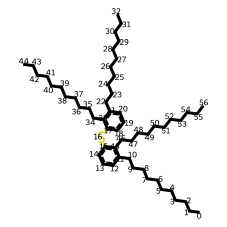 CCCCCCCCCCCc1cccc(Sc2cccc(CCCCCCCCCCC)c2CCCCCCCCCCC)c1CCCCCCCCCCC